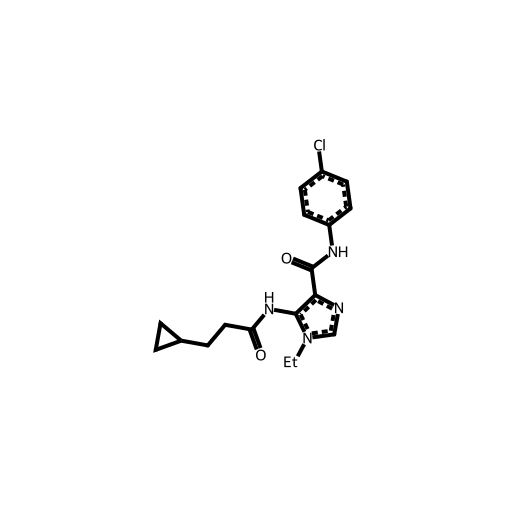 CCn1cnc(C(=O)Nc2ccc(Cl)cc2)c1NC(=O)CCC1CC1